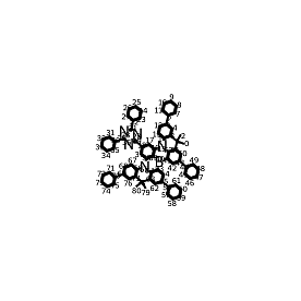 CC1(C)c2cc(-c3ccccc3)ccc2N2c3cc(-c4nc(-c5ccccc5)nc(-c5ccccc5)n4)cc4c3B(c3cc(-c5ccccc5)cc1c32)c1cc(-c2ccccc2)cc2c1N4c1ccc(-c3ccccc3)cc1C2(C)C